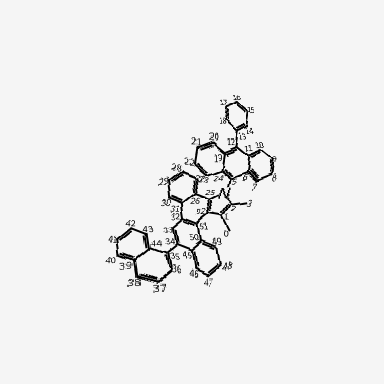 Cc1c(C)n(-c2c3ccccc3c(-c3ccccc3)c3ccccc23)c2c3ccccc3c3cc(-c4cccc5ccccc45)c4ccccc4c3c12